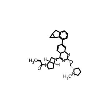 C=CC(=O)N1CC[C@@H]2[C@H]1CN2C1=NC(OC[C@@H]2CCCN2C)=NC2C=C(c3cccc4c3C3CC3C4)C=CC12